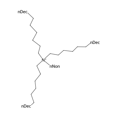 CCCCCCCCCCCCCCCC[N+](CCCCCCCCC)(CCCCCCCCCCCCCCCC)CCCCCCCCCCCCCCCC